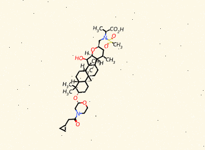 C[C@@H]1C[C@H](CN([C@@H](C)C(=O)O)S(C)(=O)=O)O[C@H]2[C@H]1[C@@]1(C)CC[C@@]34C[C@@]35CC[C@H](O[C@H]3CN(C(=O)CC6CC6)CCO3)C(C)(C)[C@@H]5CC[C@H]4[C@]1(C)[C@H]2O